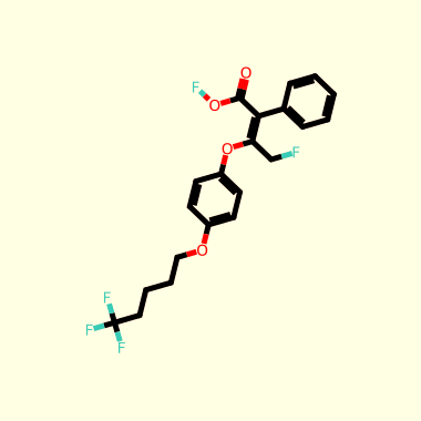 O=C(OF)C(=C(CF)Oc1ccc(OCCCCC(F)(F)F)cc1)c1ccccc1